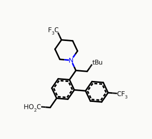 CC(C)(C)CC(c1ccc(CC(=O)O)cc1-c1ccc(C(F)(F)F)cc1)N1CCC(C(F)(F)F)CC1